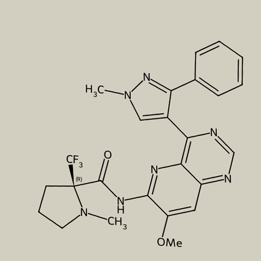 COc1cc2ncnc(-c3cn(C)nc3-c3ccccc3)c2nc1NC(=O)[C@@]1(C(F)(F)F)CCCN1C